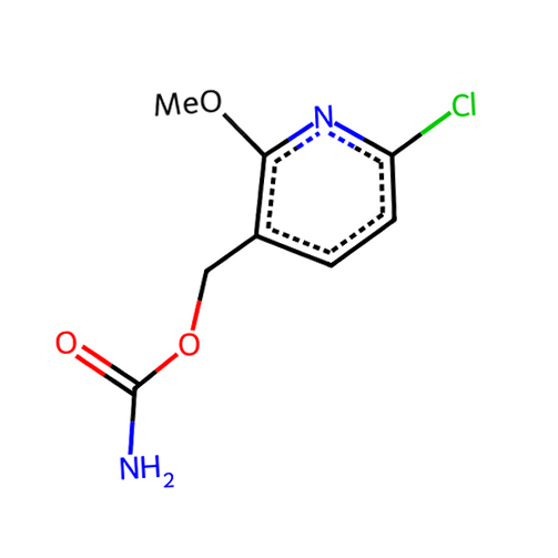 COc1nc(Cl)ccc1COC(N)=O